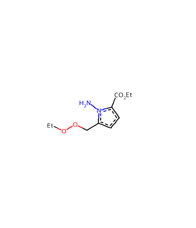 CCOOCc1ccc(C(=O)OCC)n1N